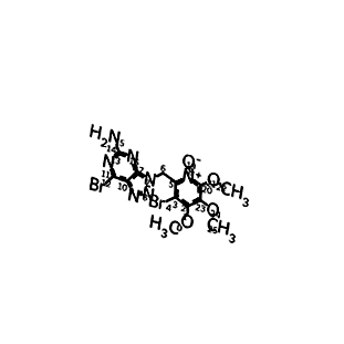 COc1c(Br)c(Cn2nnc3c(Br)nc(N)nc32)[n+]([O-])c(OC)c1OC